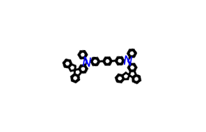 c1ccc(N(c2ccc(-c3ccc(-c4ccc(N(c5ccccc5)c5ccc6c(c5)C5(Cc7ccccc7C5)c5ccccc5-6)cc4)cc3)cc2)c2ccc3c(c2)C2(Cc4ccccc4C2)c2ccccc2-3)cc1